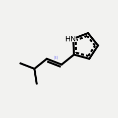 CC(C)/C=C/c1ccc[nH]1